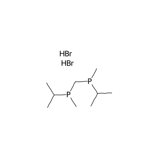 Br.Br.CC(C)P(C)CP(C)C(C)C